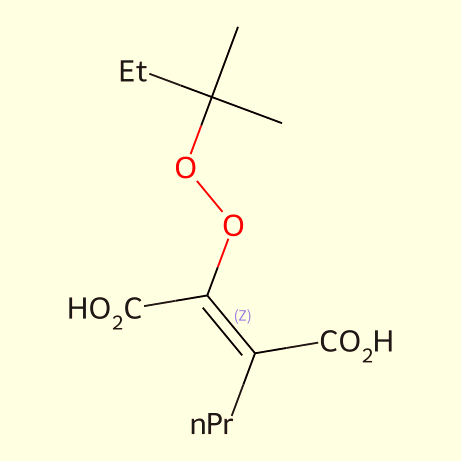 CCC/C(C(=O)O)=C(/OOC(C)(C)CC)C(=O)O